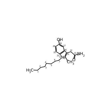 CCCCCCCCn1c(C)c(CC(N)=O)c2cc(O)ccc21